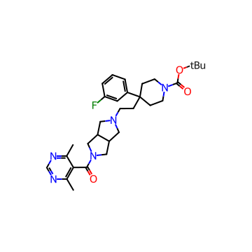 Cc1ncnc(C)c1C(=O)N1CC2CN(CCC3(c4cccc(F)c4)CCN(C(=O)OC(C)(C)C)CC3)CC2C1